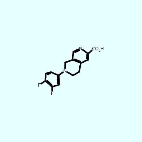 O=C(O)c1cc2c(cn1)CN(c1ccc(F)c(F)c1)CC2